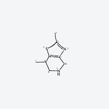 Cc1nc2c(s1)C(C)CNC2